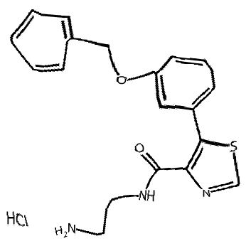 Cl.NCCNC(=O)c1ncsc1-c1cccc(OCc2ccccc2)c1